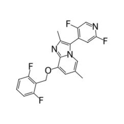 Cc1cc(OCc2c(F)cccc2F)c2nc(C)c(-c3cc(F)ncc3F)n2c1